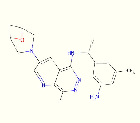 Cc1nnc(N[C@H](C)c2cc(N)cc(C(F)(F)F)c2)c2cc(N3CC4CC(C3)O4)cnc12